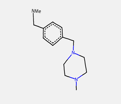 CNCc1ccc(CN2CCN(C)CC2)cc1